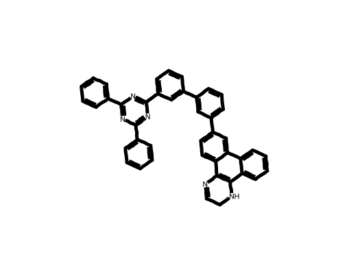 C1=Nc2c(c3ccccc3c3cc(-c4cccc(-c5cccc(-c6nc(-c7ccccc7)nc(-c7ccccc7)n6)c5)c4)ccc23)NC1